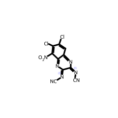 N#C/N=C1\N=c2c([N+](=O)[O-])c(Cl)c(Cl)cc2=N\C1=N\C#N